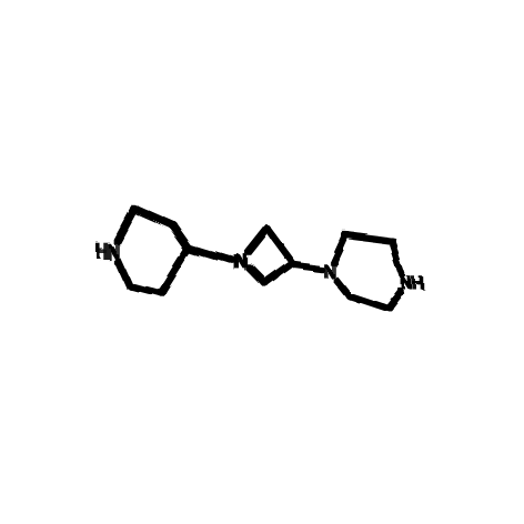 C1CC(N2CC(N3CCNCC3)C2)CCN1